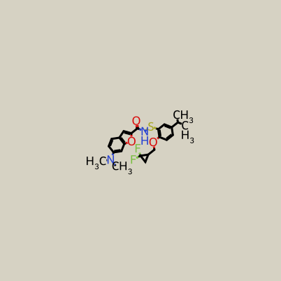 CC(C)c1ccc(OCC2CC2(F)F)c(SNC(=O)c2cc3ccc(N(C)C)cc3o2)c1